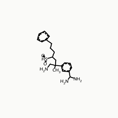 CC([CH]N)(CC(CCCc1ccccc1)[SH](=O)=O)c1cccc(C(N)N)c1